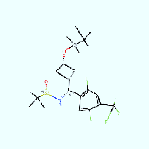 CC(C)(C)[S@+]([O-])N[C@@H](c1cc(F)c(C(F)(F)F)cc1F)[C@H]1C[C@@H](O[Si](C)(C)C(C)(C)C)C1